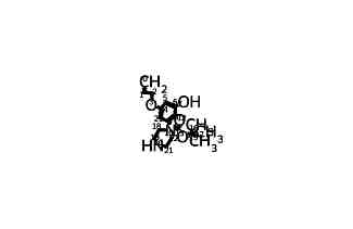 C=CCOc1cc(O)cc([N+]2(C(=O)OC(C)(C)C)CCNCC2)c1